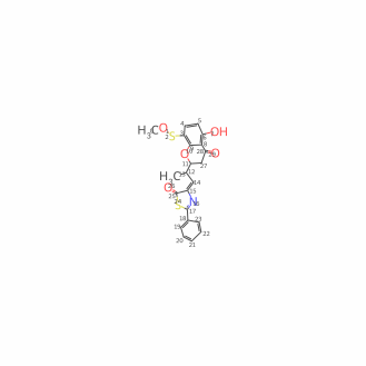 COSc1ccc(O)c2c1OC(C(C)C=C1N=C(c3ccccc3)SC1=O)CC2=O